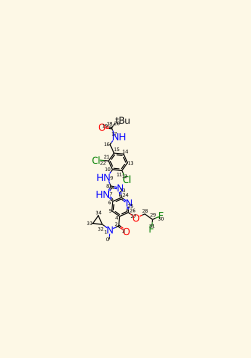 CN(C(=O)c1cc2[nH]c(Nc3c(Cl)ccc(CNC(=O)C(C)(C)C)c3Cl)nc2nc1OCC(F)F)C1CC1